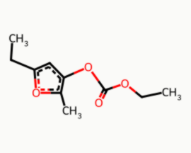 CCOC(=O)Oc1cc(CC)oc1C